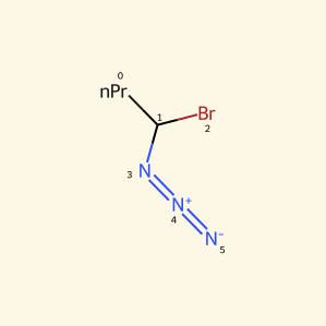 CCCC(Br)N=[N+]=[N-]